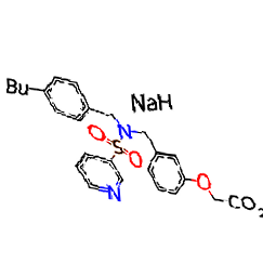 CC(C)(C)c1ccc(CN(Cc2cccc(OCC(=O)O)c2)S(=O)(=O)c2cccnc2)cc1.[NaH]